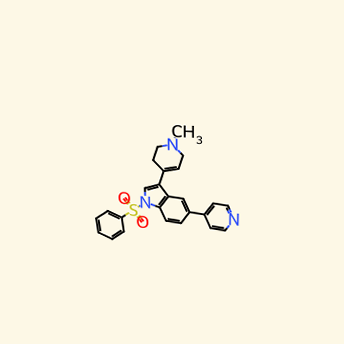 CN1CC=C(c2cn(S(=O)(=O)c3ccccc3)c3ccc(-c4ccncc4)cc23)CC1